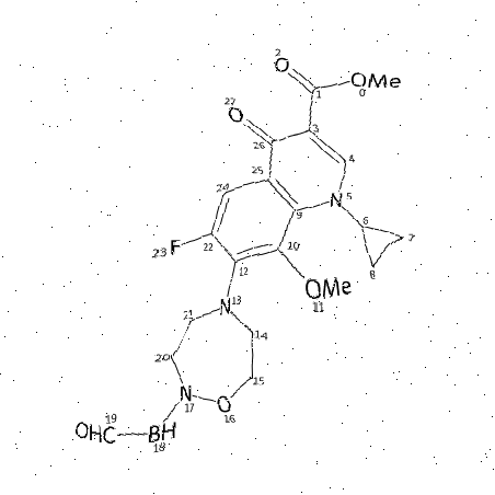 COC(=O)c1cn(C2CC2)c2c(OC)c(N3CCON(BC=O)CC3)c(F)cc2c1=O